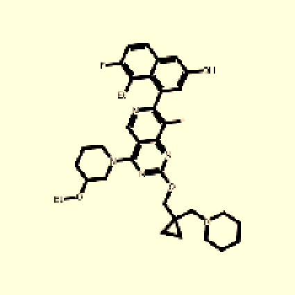 CCOC1CCCN(c2nc(OCC3(CN4CCCCC4)CC3)nc3c(F)c(-c4cc(O)cc5ccc(F)c(CC)c45)ncc23)C1